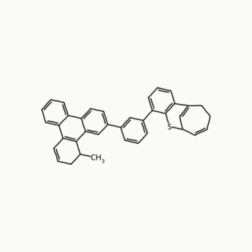 CC1CC=Cc2c1c1cc(-c3cccc(-c4cccc5c4SC4C=CCCC5=C4)c3)ccc1c1ccccc21